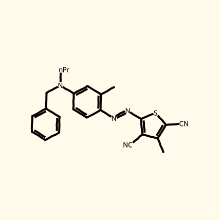 CCCN(Cc1ccccc1)c1ccc(/N=N/c2sc(C#N)c(C)c2C#N)c(C)c1